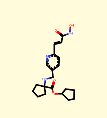 O=C(C=Cc1ccc(CNC2(C(=O)OC3CCCC3)CCCC2)cn1)NO